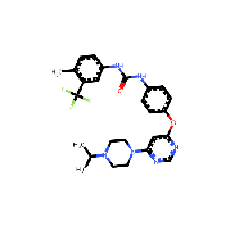 Cc1ccc(NC(=O)Nc2ccc(Oc3cc(N4CCN(C(C)C)CC4)ncn3)cc2)cc1C(F)(F)F